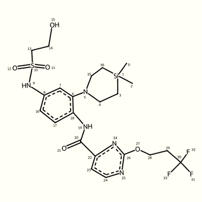 C[Si]1(C)CCN(c2cc(NS(=O)(=O)CCO)ccc2NC(=O)c2ccnc(OCCC(F)(F)F)n2)CC1